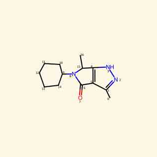 Cc1n[nH]c2c1C(=O)N(C1CCCCC1)C2C